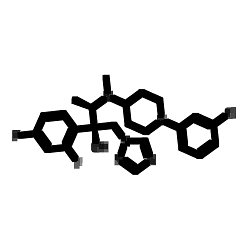 C[C@@H](N(C)C1CCN(c2cccc(Cl)c2)CC1)[C@](O)(Cn1cncn1)c1ccc(F)cc1F